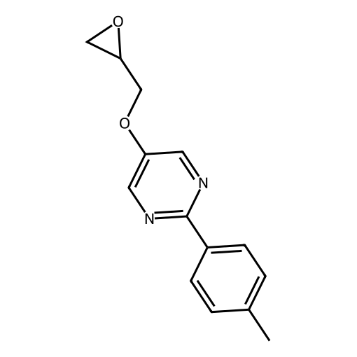 Cc1ccc(-c2ncc(OCC3CO3)cn2)cc1